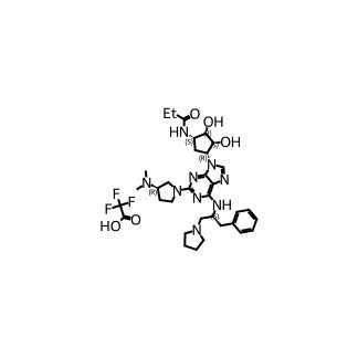 CCC(=O)N[C@H]1C[C@@H](n2cnc3c(N[C@@H](Cc4ccccc4)CN4CCCC4)nc(N4CC[C@@H](N(C)C)C4)nc32)[C@H](O)[C@@H]1O.O=C(O)C(F)(F)F